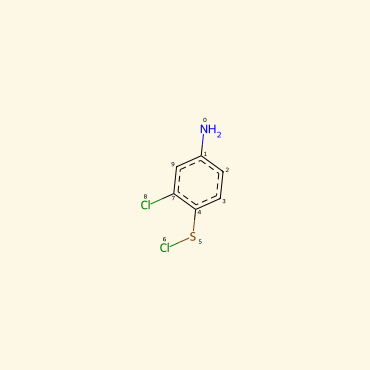 Nc1ccc(SCl)c(Cl)c1